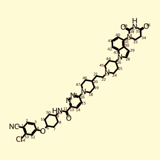 N#Cc1ccc(OC2CCC(NC(=O)c3ccc(N4CCC(CCN5CCC(n6ccc7c(N8CCC(=O)NC8=O)cccc76)CC5)CC4)nn3)CC2)cc1Cl